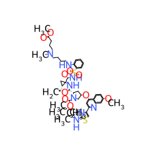 C=C[C@@H]1C[C@]1(NC(=O)[C@@H]1C[C@@H](Oc2cc(-c3csc(NC(C)C)n3)nc3cc(OC)ccc23)CN1C(=O)OC(C)(C)C)C(=O)NS(=O)(=O)c1ccccc1NCCCCN(C)CCCC(=O)OC